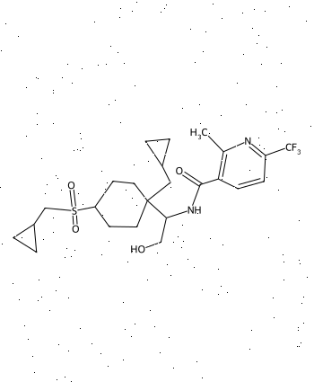 Cc1nc(C(F)(F)F)ccc1C(=O)NC(CO)C1(CC2CC2)CCC(S(=O)(=O)CC2CC2)CC1